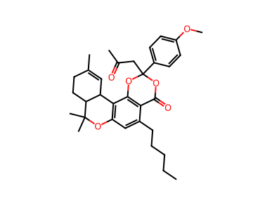 CCCCCc1cc2c(c3c1C(=O)OC(CC(C)=O)(c1ccc(OC)cc1)O3)C1C=C(C)CCC1C(C)(C)O2